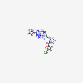 N[N@@+]12C=C(C#CC3CCCN3Cc3ccc(Cl)o3)N=CC1=NC(c1ccco1)=N2